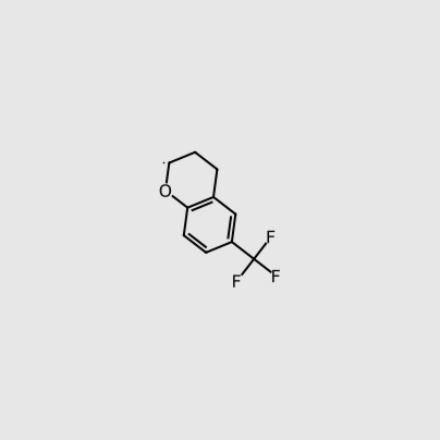 FC(F)(F)c1ccc2c(c1)CC[CH]O2